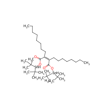 CCCCCCCC/C(C(=O)[O][SnH]([C](C)(C)C)[C](C)(C)C)=C(\CCCCCCCC)C(=O)[O][SnH]([C](C)(C)C)[C](C)(C)C